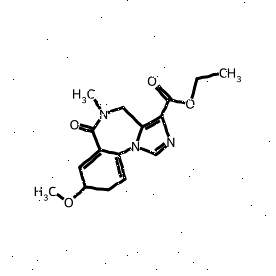 CCOC(=O)c1ncn2c1CN(C)C(=O)C1=CC(OC)CC=C12